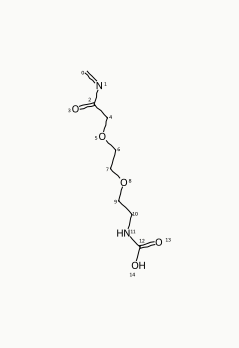 C=NC(=O)COCCOCCNC(=O)O